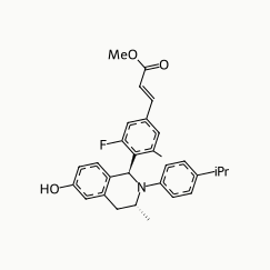 COC(=O)/C=C/c1cc(C)c([C@@H]2c3ccc(O)cc3C[C@@H](C)N2c2ccc(C(C)C)cc2)c(F)c1